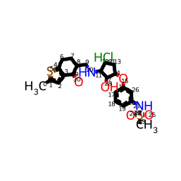 Cc1cc2c(s1)CCC(CNC1CCC(Oc3cccc(NS(C)(=O)=O)c3)C1O)C2=O.Cl